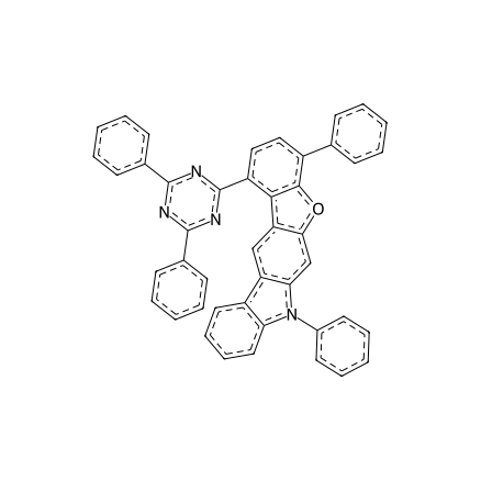 c1ccc(-c2nc(-c3ccccc3)nc(-c3ccc(-c4ccccc4)c4oc5cc6c(cc5c34)c3ccccc3n6-c3ccccc3)n2)cc1